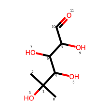 CC(C)(O)C(O)C(O)C(O)C=O